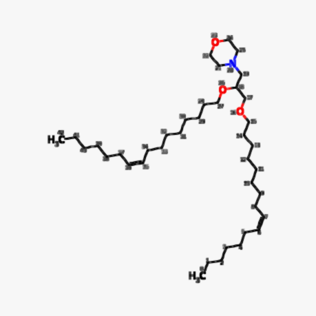 CCCCCC/C=C\CCCCCCCCOCC(CN1CCOCC1)OCCCCCCCC/C=C\CCCCCC